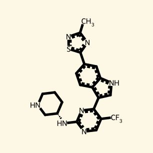 Cc1nsc(-c2ccc3c(-c4nc(N[C@H]5CCCNC5)ncc4C(F)(F)F)c[nH]c3c2)n1